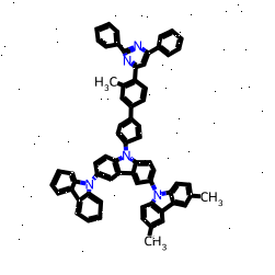 Cc1ccc2c(c1)c1cc(C)ccc1n2-c1ccc2c(c1)c1cc(-n3c4ccccc4c4ccccc43)ccc1n2-c1ccc(-c2ccc(-c3cc(-c4ccccc4)nc(-c4ccccc4)n3)c(C)c2)cc1